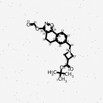 CC(C)(C)OC(=O)C1CN(Cc2ccc3c(c2)CCc2c(OC=O)noc2-3)C1